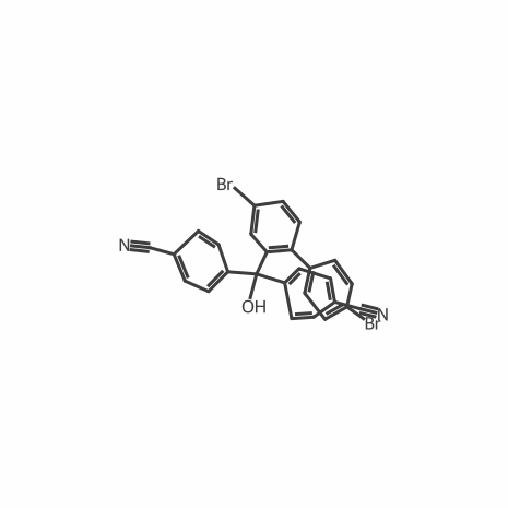 N#Cc1ccc(C(O)(c2ccc(C#N)cc2)c2cc(Br)ccc2-c2ccc(Br)cc2)cc1